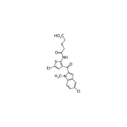 CCc1cc(C(=O)c2cc3cc(Cl)ccc3n2C)c(NC(=O)CSCC(=O)O)s1